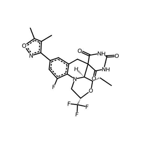 CC[C@@H]1O[C@H](C(F)(F)F)CN2c3c(F)cc(-c4noc(C)c4C)cc3CC3(C(=O)NC(=O)NC3=O)[C@@H]12